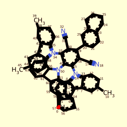 Cc1ccc2c(c1)c1cc(C)ccc1n2-c1c(C#N)c(-c2ccc3ccccc3c2)c(C#N)c(-n2c3ccc(C)cc3c3cc(C)ccc32)c1N1c2cc3ccccc3cc2C2C=CC=CC21